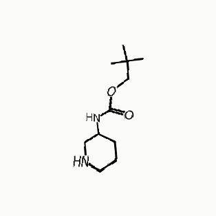 CC(C)(C)COC(=O)NC1CCCNC1